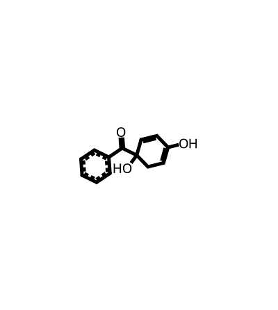 O=C(c1ccccc1)C1(O)C=CC(O)=CC1